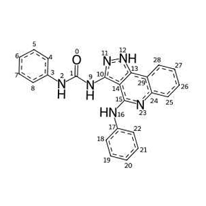 O=C(Nc1ccccc1)Nc1n[nH]c2c1c(Nc1ccccc1)nc1ccccc12